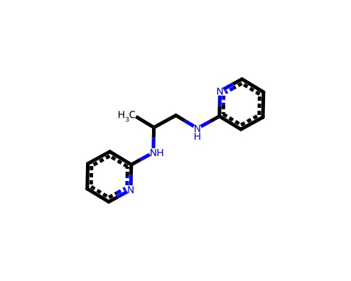 CC(CNc1ccccn1)Nc1ccccn1